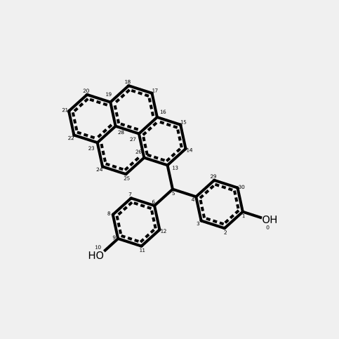 Oc1ccc(C(c2ccc(O)cc2)c2ccc3ccc4cccc5ccc2c3c45)cc1